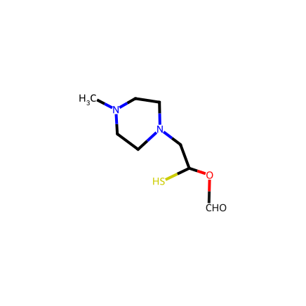 CN1CCN(CC(S)OC=O)CC1